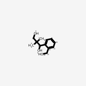 CC(C)(CO)C(O)c1ccccc1CO